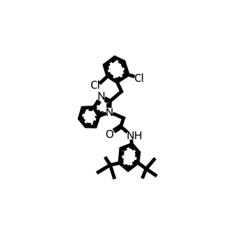 CC(C)(C)c1cc(NC(=O)Cn2c(Cc3c(Cl)cccc3Cl)nc3ccccc32)cc(C(C)(C)C)c1